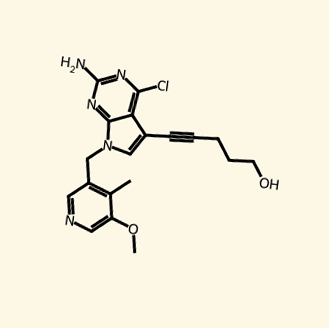 COc1cncc(Cn2cc(C#CCCCO)c3c(Cl)nc(N)nc32)c1C